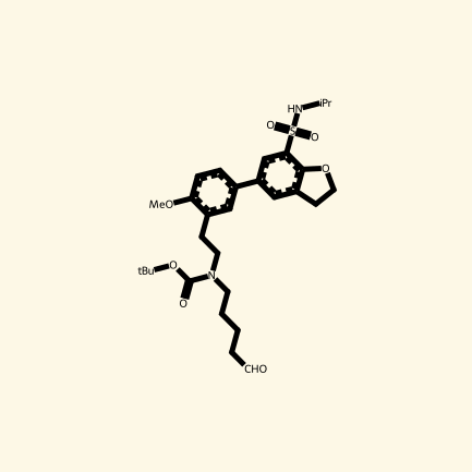 COc1ccc(-c2cc3c(c(S(=O)(=O)NC(C)C)c2)OCC3)cc1CCN(CCCCC=O)C(=O)OC(C)(C)C